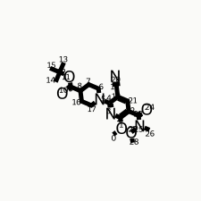 COc1nc(N2CCC(C(=O)OC(C)(C)C)CC2)c(C#N)cc1C(=O)N(C)OC